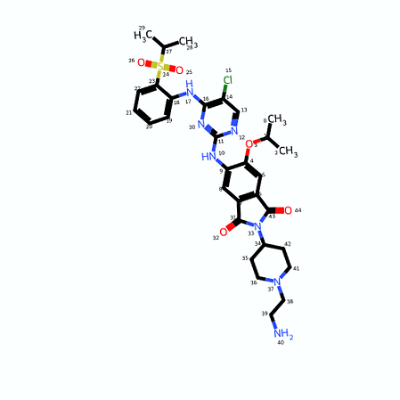 CC(C)Oc1cc2c(cc1Nc1ncc(Cl)c(Nc3ccccc3S(=O)(=O)C(C)C)n1)C(=O)N(C1CCN(CCN)CC1)C2=O